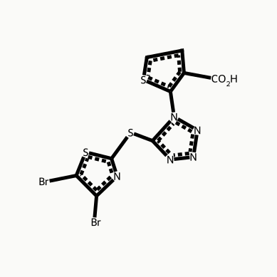 O=C(O)c1ccsc1-n1nnnc1Sc1nc(Br)c(Br)s1